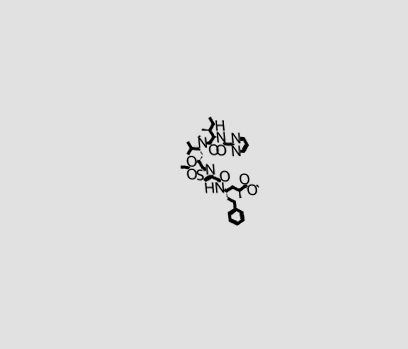 CC[C@H](C)[C@H](NC(=O)c1ncccn1)C(=O)N(C)[C@H](C[C@@H](OC(C)=O)c1nc(C(=O)N[C@@H](CCc2ccccc2)C[C@H](C)C(=O)OC)cs1)C(C)C